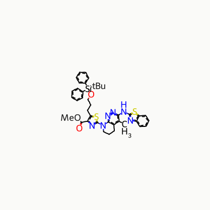 COC(=O)c1nc(N2CCCc3c2nnc(Nc2nc4ccccc4s2)c3C)sc1CCCO[Si](c1ccccc1)(c1ccccc1)C(C)(C)C